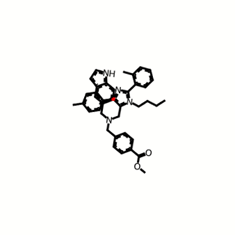 CCCCn1c(-c2ccccc2C)nc(-c2ccc(C)cc2)c1CN(Cc1ccc(C(=O)OC)cc1)Cc1ccc2[nH]ccc2c1